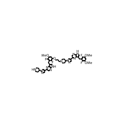 COc1cc(OC)c(F)c(Cc2c[nH]c3ncc(-c4cnn(C5CCN(CCCOc6cc(OC)c(F)c(Cc7c[nH]c8ncc(-c9cnn(C%10CCNCC%10)c9)nc78)c6F)CC5)c4)nc23)c1F